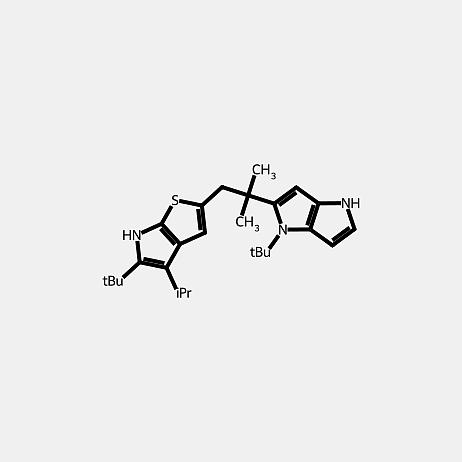 CC(C)c1c(C(C)(C)C)[nH]c2sc(CC(C)(C)c3cc4[nH]ccc4n3C(C)(C)C)cc12